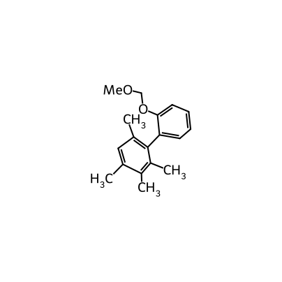 COCOc1ccccc1-c1c(C)cc(C)c(C)c1C